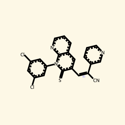 N#C/C(=C/c1cc2cccnc2n(-c2cc(Cl)cc(Cl)c2)c1=S)c1cccnc1